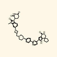 Cn1c(=O)n(C2CCC(=O)NC2=O)c2ccc(N3CC(CN4CCN(c5ccc(-c6nccc(-c7cc8c([nH]7)C7(CCCC7)CNC8=O)n6)cc5)CC4)C3)cc21